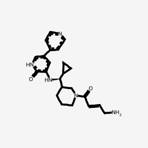 NC/C=C/C(=O)N1CCCC([C@@H](Nc2cc(-c3ccncc3)c[nH]c2=O)C2CC2)C1